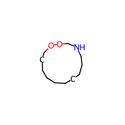 C1CCCCCOOCNCCCC1